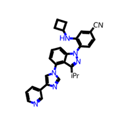 CC(C)c1nn(-c2ccc(C#N)cc2NC2CCC2)c2cccc(-n3cnc(-c4cccnc4)c3)c12